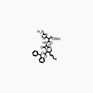 CO/N=C(\C(=O)NC1C(=O)N2C(C(=O)OC(c3ccccc3)c3ccccc3)=C(/C=C/CI)CS[C@H]12)c1nsc(N)n1